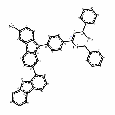 N#Cc1ccc2c(c1)c1ccc(-c3cccc4c3sc3ccccc34)cc1n2-c1ccc(/C(=N/C(N)c2ccccc2)NCc2ccccc2)cc1